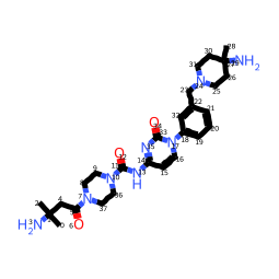 CC(C)(N)CC(=O)N1CCN(C(=O)Nc2ccn(-c3cccc(CN4CCC(C)(N)CC4)c3)c(=O)n2)CC1